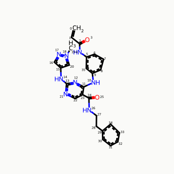 C=CC(=O)Nc1cccc(Nc2nc(Nc3cnn(C)c3)ncc2C(=O)NCCc2ccccc2)c1